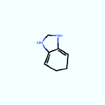 C1=C2NCNC2=CCC1